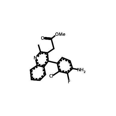 COC(=O)Cc1c(C)nc2ccccc2c1-c1ccc(N)c(F)c1Cl